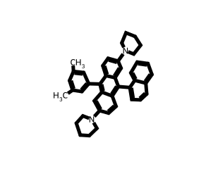 Cc1cc(C)cc(-c2c3cc(N4CCCCC4)ccc3c(-c3cccc4ccccc34)c3cc(N4CCCCC4)ccc23)c1